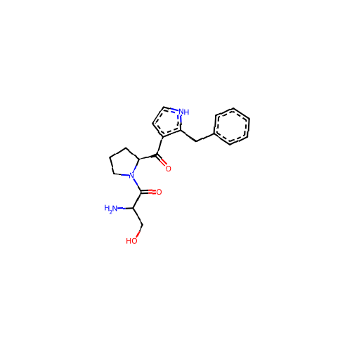 NC(CO)C(=O)N1CCC[C@H]1C(=O)c1cc[nH]c1Cc1ccccc1